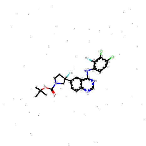 CC(C)(C)OC(=O)N1CCC(F)(c2ccc3ncnc(Nc4ccc(Cl)c(Cl)c4F)c3c2)C1